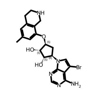 Cc1cc2c(c(O[C@H]3C[C@@H](n4cc(Br)c5c(N)ncnc54)[C@H](O)[C@@H]3O)c1)CNCC2